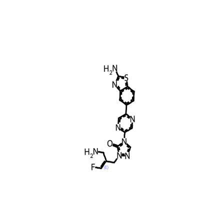 NC/C(=C\F)Cn1ncn(-c2cnc(-c3ccc4sc(N)nc4c3)cn2)c1=O